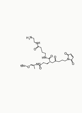 C/C(=C\OC(C)(C)C)NC(=O)CC[C@H](CC(=O)CCCN1C(=O)C=CC1=O)C(=O)NCCCC(=O)NCCN